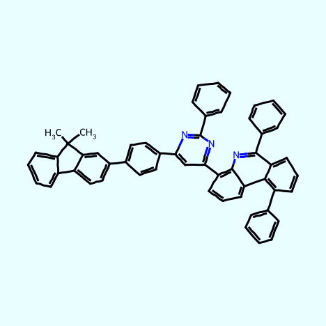 CC1(C)c2ccccc2-c2ccc(-c3ccc(-c4cc(-c5cccc6c5nc(-c5ccccc5)c5cccc(-c7ccccc7)c56)nc(-c5ccccc5)n4)cc3)cc21